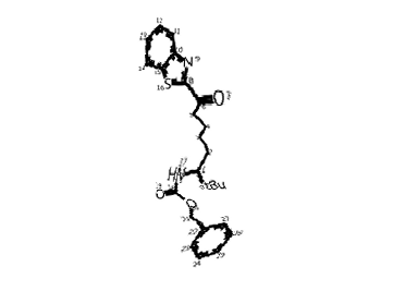 CC(C)(C)C(CC[CH]CC(=O)c1nc2ccccc2s1)NC(=O)OCc1ccccc1